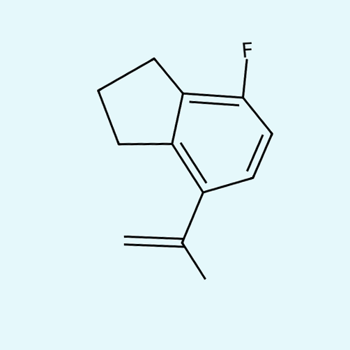 C=C(C)c1ccc(F)c2c1CCC2